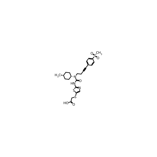 CS(=O)(=O)c1ccc(C#CCCN(C(=O)Nc2ncc(SCC(=O)O)s2)[C@H]2CC[C@H](C)CC2)cc1